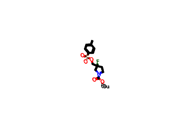 Cc1ccc(S(=O)(=O)OCC2(F)CCN(C(=O)OC(C)(C)C)C2)cc1